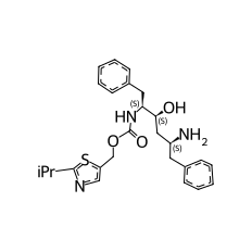 CC(C)c1ncc(COC(=O)N[C@@H](Cc2ccccc2)[C@@H](O)C[C@@H](N)Cc2ccccc2)s1